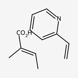 C=Cc1ccccn1.CC=C(C)C(=O)O